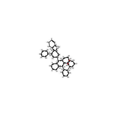 C1=Cc2oc3cc(-c4c5ccccc5c(-c5ccccc5-c5ccccc5)c5ccccc45)cc(-c4ccccc4)c3c2CC1